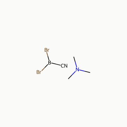 CN(C)C.N#CB(Br)Br